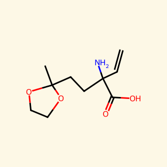 C=CC(N)(CCC1(C)OCCO1)C(=O)O